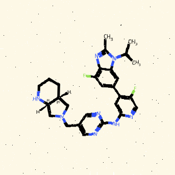 Cc1nc2c(F)cc(-c3cc(Nc4ncc(CN5C[C@H]6CCCN[C@H]6C5)cn4)ncc3F)cc2n1C(C)C